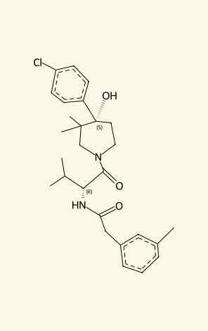 Cc1cccc(CC(=O)N[C@@H](C(=O)N2CC[C@](O)(c3ccc(Cl)cc3)C(C)(C)C2)C(C)C)c1